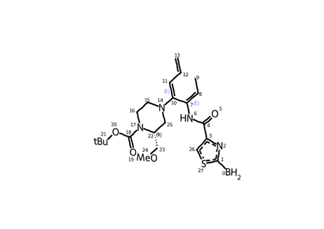 Bc1nc(C(=O)NC(=C/C)/C(=C\C=C)N2CCN(C(=O)OC(C)(C)C)[C@@H](COC)C2)cs1